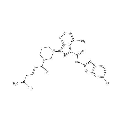 CN(C)CC=CC(=O)N1CCC[C@@H](n2nc(C(=O)Nc3nc4cc(Cl)ccc4o3)c3c(N)ncnc32)C1